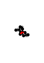 c1ccc(-c2nc(-c3ccccc3)nc(-c3cccc4oc5ccc(-c6ccc7c(c6)c6ccccc6n7-c6cccc(-c7nc8ccccc8n7-c7ccccc7)c6)cc5c34)n2)cc1